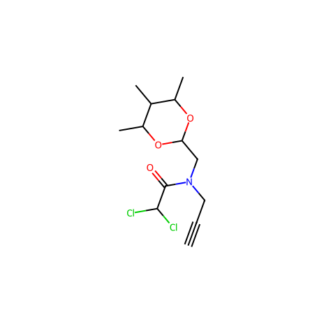 C#CCN(CC1OC(C)C(C)C(C)O1)C(=O)C(Cl)Cl